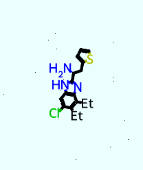 CCc1c(Cl)cc2[nH]c([C@H](N)Cc3cccs3)nc2c1CC